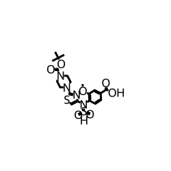 COc1cc(C(=O)O)ccc1N(c1csc(N2CCN(C(=O)OC(C)(C)C)CC2)n1)[SH](=O)=O